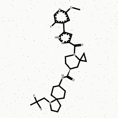 COc1cc(-c2cc(C(=O)N3CC[C@H](C(=O)NC4CCC5(CCCN5CC(C)(F)F)CC4)CC34CC4)n[nH]2)c(F)cn1